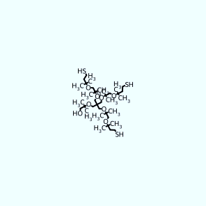 CC(C)(CO)OCC(COC(C)(C)COC(C)(C)CCS)(COC(C)(C)COC(C)(C)CCS)COC(C)(C)COC(C)(C)CCS